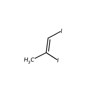 C/C(I)=C/I